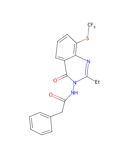 CCc1nc2c(SC(F)(F)F)cccc2c(=O)n1NC(=O)Cc1ccccc1